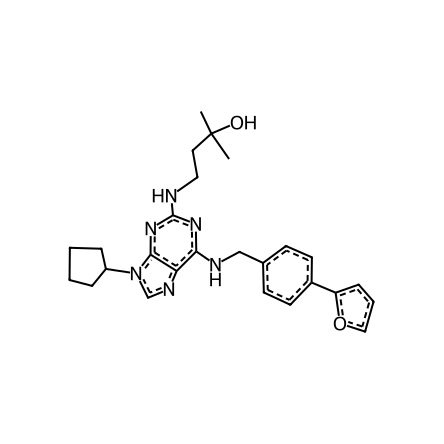 CC(C)(O)CCNc1nc(NCc2ccc(-c3ccco3)cc2)c2ncn(C3CCCC3)c2n1